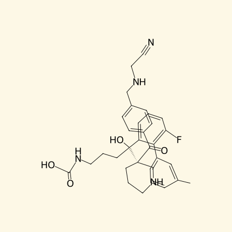 Cc1cccc(-c2c(F)cccc2C(O)(CCCNC(=O)O)[C@@]2(C(=O)c3ccc(CNCC#N)cc3)CCCNC2)c1